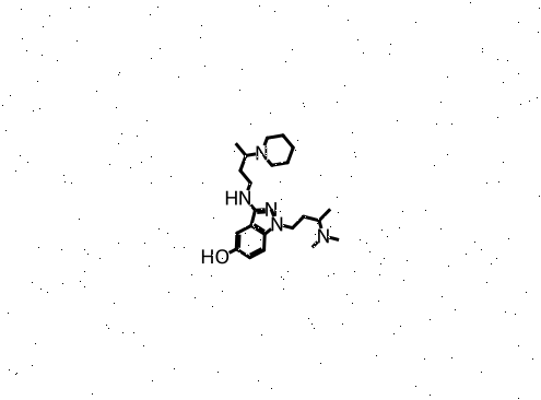 CC(CCn1nc(NCCC(C)N2CCCCC2)c2cc(O)ccc21)N(C)C